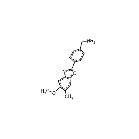 COc1cc2nc(-c3ccc(CN)cc3)oc2cc1C